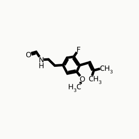 COc1cc(CCNC=O)cc(F)c1C=C(C)C